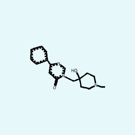 CN1CCC(O)(Cn2cnc(-c3ccccc3)cc2=O)CC1